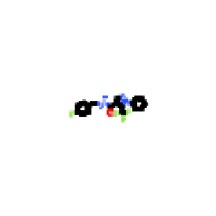 O=C(NN=Cc1ccc(F)cc1)c1cnn(-c2ccccc2)c1C(F)(F)F